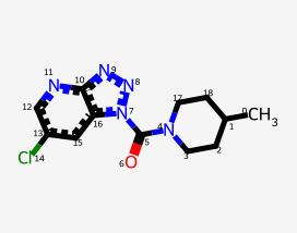 CC1CCN(C(=O)n2nnc3ncc(Cl)cc32)CC1